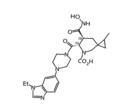 CCn1cnc2ccc(N3CCN(C(=O)[C@@H]4[C@@H](C(=O)NO)CC5(CC5C)CN4C(=O)O)CC3)cc21